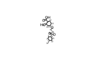 Cc1ccc(S(=O)(=O)CCOc2ccc(C(=O)O)c(O)c2)cc1